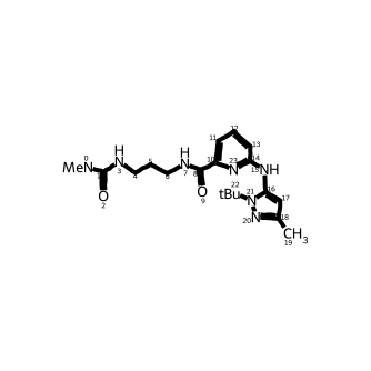 CNC(=O)NCCCNC(=O)c1cccc(Nc2cc(C)nn2C(C)(C)C)n1